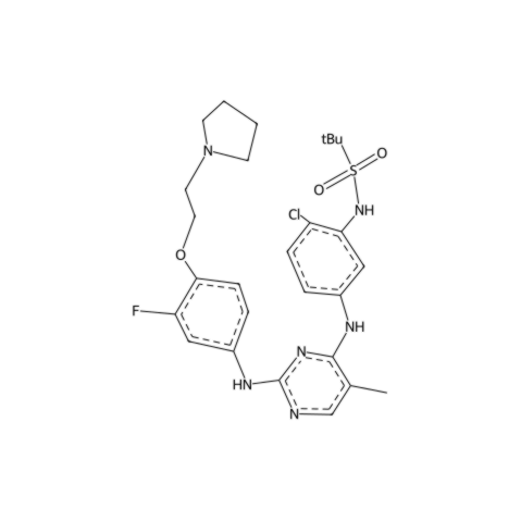 Cc1cnc(Nc2ccc(OCCN3CCCC3)c(F)c2)nc1Nc1ccc(Cl)c(NS(=O)(=O)C(C)(C)C)c1